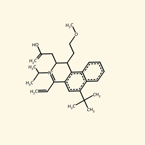 C=CC1=[N+](C(C)C)C(CC(=C)O)C(CCOC)c2c1cc(C(C)(C)C)c1ccccc21